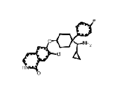 NC(C1CC1)[C@]1(c2ccc(F)cc2)CC[C@H](Oc2cc3cc[nH]c(=O)c3cc2Cl)CC1